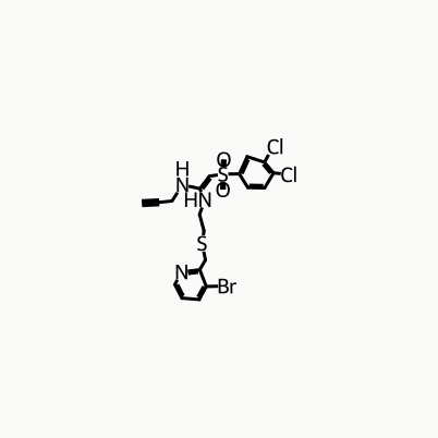 C#CCNC(=CS(=O)(=O)c1ccc(Cl)c(Cl)c1)NCCSCc1ncccc1Br